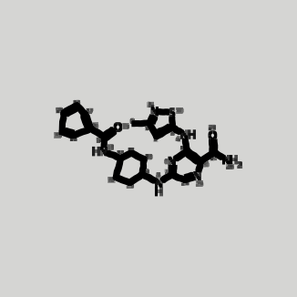 Cc1cc(Nc2nc(NC3CCC(NC(=O)c4ccccc4)CC3)cnc2C(N)=O)sn1